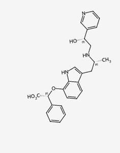 C[C@H](Cc1c[nH]c2c(O[C@@H](C(=O)O)c3ccccc3)cccc12)NC[C@H](O)c1cccnc1